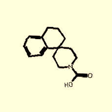 O=C(O)N1CCC2(CCCc3ccccc32)CC1